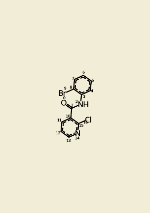 O=C(Nc1ccccc1Br)c1cccnc1Cl